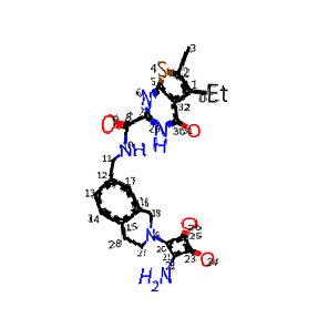 CCc1c(C)sc2nc(C(=O)NCc3ccc4c(c3)CN(c3c(N)c(=O)c3=O)CC4)[nH]c(=O)c12